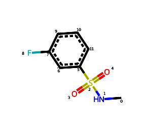 CNS(=O)(=O)c1[c]c(F)ccc1